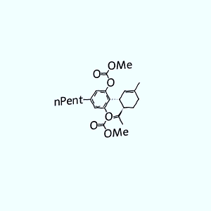 C=C(C)[C@@H]1CCC(C)=C[C@H]1c1c(OC(=O)OC)cc(CCCCC)cc1OC(=O)OC